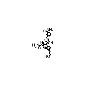 Cn1c(C(N)=O)c(N)c2c(-c3ccc(CCCO)cc3)c(C#N)c(SCc3cccc(C(N)=O)c3)nc21